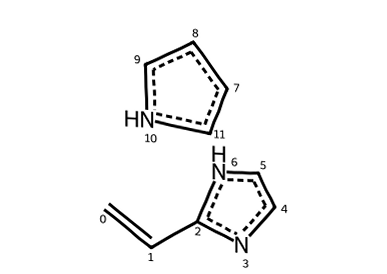 C=Cc1ncc[nH]1.c1cc[nH]c1